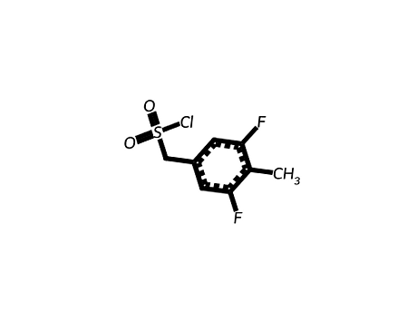 Cc1c(F)cc(CS(=O)(=O)Cl)cc1F